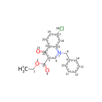 CCOC(=O)c1cn(Cc2ccccc2)c2cc(Cl)ccc2c1=O